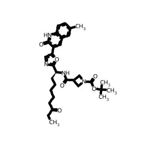 CCC(=O)CCCCC[C@H](NC(=O)C1CN(C(=O)OC(C)(C)C)C1)c1ncc(-c2cc3cc(C)ccc3[nH]c2=O)o1